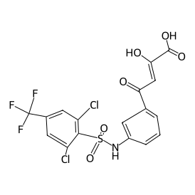 O=C(O)/C(O)=C/C(=O)c1cccc(NS(=O)(=O)c2c(Cl)cc(C(F)(F)F)cc2Cl)c1